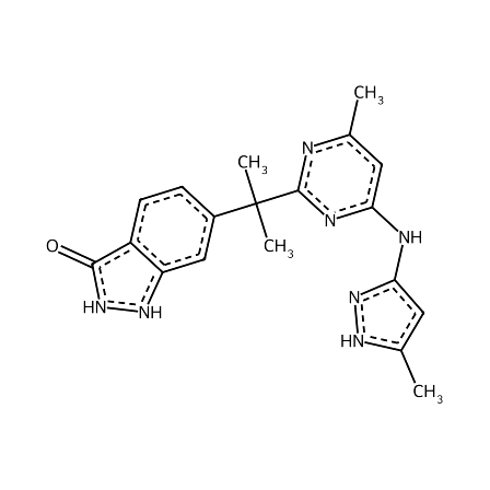 Cc1cc(Nc2cc(C)[nH]n2)nc(C(C)(C)c2ccc3c(=O)[nH][nH]c3c2)n1